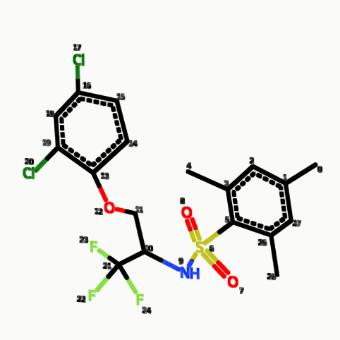 Cc1cc(C)c(S(=O)(=O)NC(COc2ccc(Cl)cc2Cl)C(F)(F)F)c(C)c1